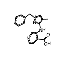 Cc1cn(Cc2ccccc2)nc1Nc1cnccc1C(=O)O